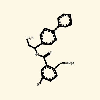 CCCCCCCOc1ccc(Br)cc1C(=O)NC(CC(=O)O)c1ccc(-c2ccccc2)cc1